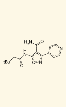 CC(C)(C)CC(=O)Nc1onc(-c2ccncc2)c1C(N)=O